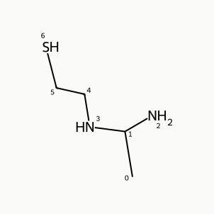 CC(N)NCCS